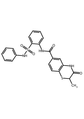 CC1Sc2ccc(C(=O)Nc3ccccc3S(=O)(=O)Nc3ccccc3)cc2NC1=O